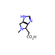 CN1Cc2[nH]cnc2C1CC(=O)O